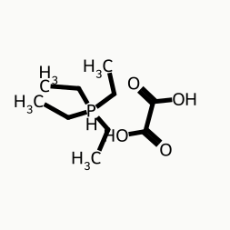 CC[PH](CC)(CC)CC.O=C(O)C(=O)O